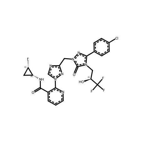 O=C(N[C@@H]1C[C@@H]1F)c1cccnc1-n1cnc(Cn2nc(-c3ccc(Cl)cc3)n(C[C@H](O)C(F)(F)F)c2=O)n1